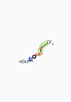 CCCCCCCCc1cnc(-c2ccc(OCC(F)(F)OC(F)(F)C(F)(F)OC(F)(F)C(F)(F)C(F)(F)C(F)(F)C(F)(F)C(F)(F)F)cc2)nc1